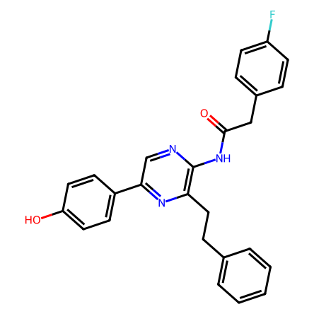 O=C(Cc1ccc(F)cc1)Nc1ncc(-c2ccc(O)cc2)nc1CCc1ccccc1